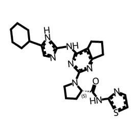 O=C(Nc1nccs1)[C@@H]1CCCN1c1nc2c(c(Nc3ncc(C4CCCCC4)[nH]3)n1)CCC2